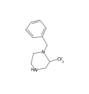 FC(F)(F)C1CNCCN1Cc1ccccc1